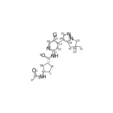 CC(=O)NC1CC[C@@H](C(=O)Nc2cc(-c3cnn4c3CC(C)(C)C4)c(Cl)cn2)C1